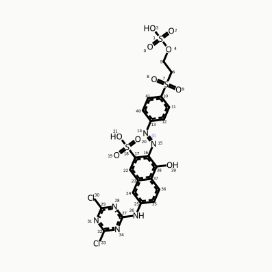 O=S(=O)(O)OCCS(=O)(=O)c1ccc(/N=N/c2c(S(=O)(=O)O)cc3cc(Nc4nc(Cl)nc(Cl)n4)ccc3c2O)cc1